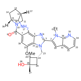 CCn1c(-c2nc3cc(C(=O)N4C[C@H]5CC[C@@H]4C5N)cc(OC)c3n2C[C@H]2C[C@@](C)(O)C2)cc2cccnc21